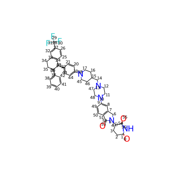 O=C1CC[C@H](N2Cc3cc(N4CCN(CC5CCN(c6ccc([C@@H]7c8ccc(C(F)(F)F)cc8CC[C@@H]7c7ccccc7)cc6)CC5)CC4)ccc3C2=O)C(=O)N1